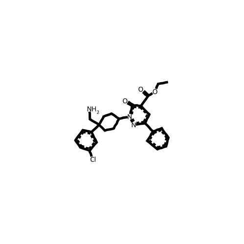 CCOC(=O)c1cc(-c2ccccc2)nn(C2CCC(CN)(c3cccc(Cl)c3)CC2)c1=O